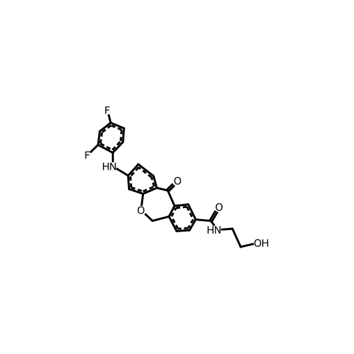 O=C(NCCO)c1ccc2c(c1)C(=O)c1ccc(Nc3ccc(F)cc3F)cc1OC2